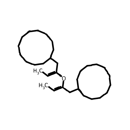 CC=C(CC1CCCCCCCCCCC1)OC(=CC)CC1CCCCCCCCCCC1